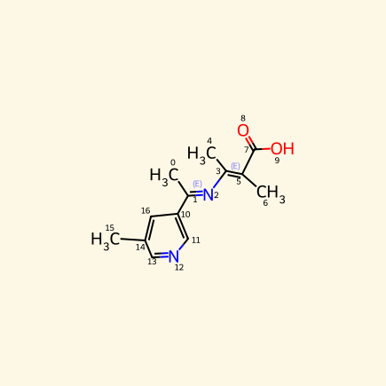 C/C(=N\C(C)=C(/C)C(=O)O)c1cncc(C)c1